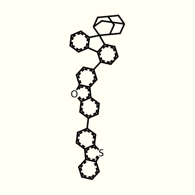 c1ccc2c(c1)-c1c(-c3ccc4oc5cc(-c6ccc7c(c6)sc6ccccc67)ccc5c4c3)cccc1C21C2CC3CC(C2)CC1C3